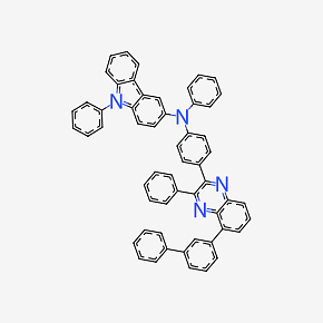 c1ccc(-c2cccc(-c3cccc4nc(-c5ccc(N(c6ccccc6)c6ccc7c(c6)c6ccccc6n7-c6ccccc6)cc5)c(-c5ccccc5)nc34)c2)cc1